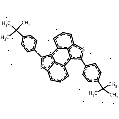 CC(C)(C)c1ccc(-c2sc3cccc4c5c(-c6ccc(C(C)(C)C)cc6)sc6cccc(c2c34)c65)cc1